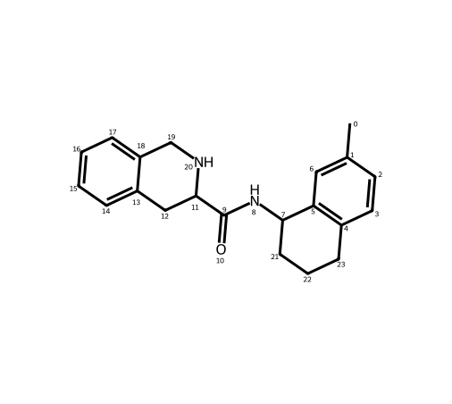 Cc1ccc2c(c1)C(NC(=O)C1Cc3ccccc3CN1)CCC2